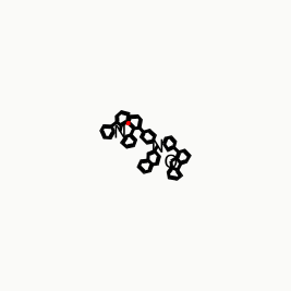 c1cc(-c2cccc3c2oc2ccccc23)cc(N(c2ccc(-c3ccccc3-c3ccccc3-n3c4ccccc4c4ccccc43)cc2)c2ccc3ccccc3c2)c1